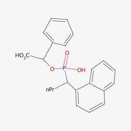 CCCC(c1cccc2ccccc12)P(=O)(O)OC(C(=O)O)c1ccccc1